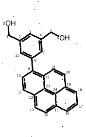 OCc1cc(CO)cc(-c2ccc3ccc4cccc5ccc2c3c45)c1